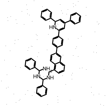 NC(NC(NCc1cccc2cc(-c3ccc(C4=CC(c5ccccc5)=CC(c5ccccc5)N4)cc3)ccc12)c1ccccc1)c1ccccc1